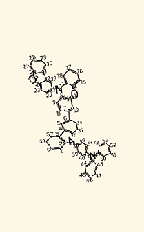 C1=Cc2c(c3cc(-c4ccc5c(c4)Oc4ccccc4N5c4ccc5oc6ccccc6c5c4)ccc3n2-c2ccc(N(c3ccccc3)c3ccccc3)cc2)CC1